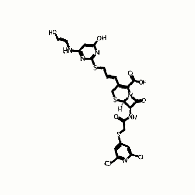 O=C(CSc1cc(Cl)nc(Cl)c1)N[C@@H]1C(=O)N2C(C(=O)O)=C(/C=C/CSc3nc(O)cc(NCCO)n3)CS[C@H]12